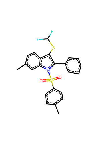 Cc1ccc(S(=O)(=O)n2c(-c3ccccc3)c(SC(F)F)c3ccc(C)cc32)cc1